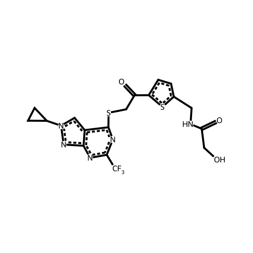 O=C(CO)NCc1ccc(C(=O)CSc2nc(C(F)(F)F)nc3nn(C4CC4)cc23)s1